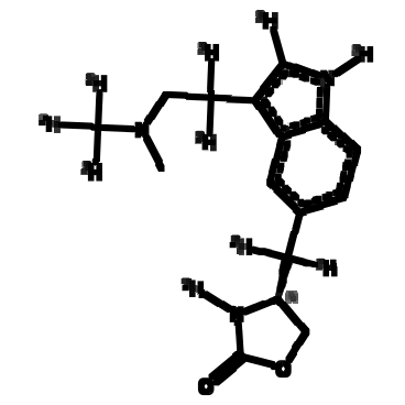 [2H]c1c(C([2H])([2H])CN(C)C([2H])([2H])[2H])c2cc(C([2H])([2H])[C@H]3COC(=O)N3[2H])ccc2n1[2H]